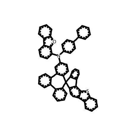 c1ccc(-c2ccc(N(c3ccc4c(c3)-c3ccccc3-c3ccccc3C43c4ccccc4-c4c3ccc3c4sc4ccccc43)c3cccc4c3oc3ccccc34)cc2)cc1